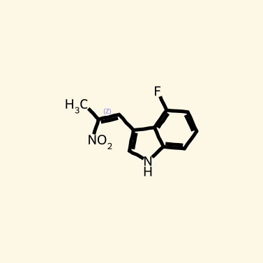 C/C(=C/c1c[nH]c2cccc(F)c12)[N+](=O)[O-]